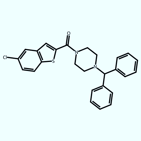 O=C(c1cc2cc(Cl)ccc2s1)N1CCN(C(c2ccccc2)c2ccccc2)CC1